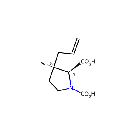 C=CC[C@]1(C)CCN(C(=O)O)[C@@H]1C(=O)O